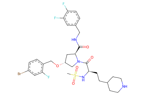 CS(=O)(=O)N[C@H](CCC1CCNCC1)C(=O)N1C[C@H](OCc2ccc(Br)cc2F)C[C@H]1C(=O)NCc1ccc(F)c(F)c1